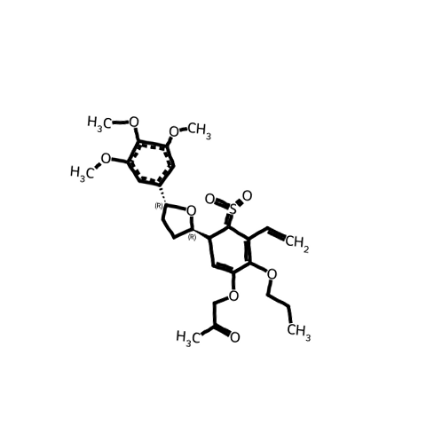 C=CC1=C(OCCC)C(OCC(C)=O)=CC([C@H]2CC[C@H](c3cc(OC)c(OC)c(OC)c3)O2)C1=S(=O)=O